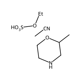 CC#N.CC1CNCCO1.CCOS(=O)(=O)O